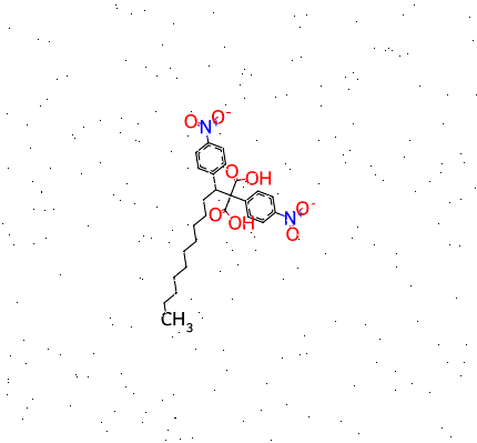 CCCCCCCCCCC(c1ccc([N+](=O)[O-])cc1)C(C(=O)O)(C(=O)O)c1ccc([N+](=O)[O-])cc1